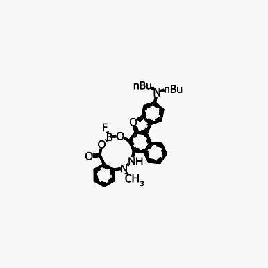 CCCCN(CCCC)c1ccc2c(c1)oc1c3c(c4ccccc4c12)NN(C)c1ccccc1C(=O)OB(F)O3